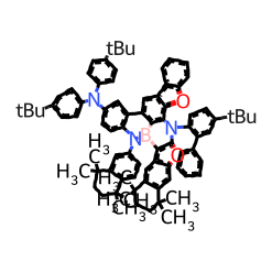 CC(C)(C)c1ccc(N(c2ccc(C(C)(C)C)cc2)c2ccc3c(c2)-c2cc4c(oc5ccccc54)c4c2B(c2c(oc5cc6c(cc25)C(C)(C)CCC6(C)C)N4c2ccc(C(C)(C)C)cc2-c2ccccc2)N3c2ccc3c(c2)C(C)(C)CCC3(C)C)cc1